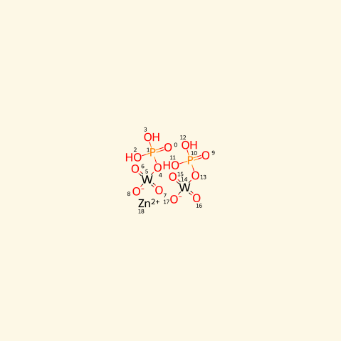 O=P(O)(O)[O][W](=[O])(=[O])[O-].O=P(O)(O)[O][W](=[O])(=[O])[O-].[Zn+2]